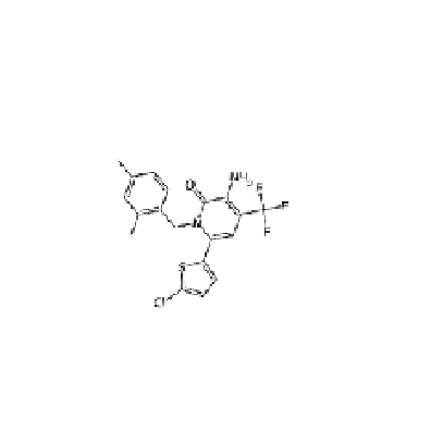 Cc1ccc(Cn2c(-c3ccc(Cl)s3)cc(C(F)(F)F)c(N)c2=O)c(C)c1